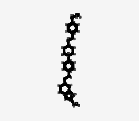 O=[N+]([O-])c1cn2c(n1)OC(COc1ccc(N3CCC(OCc4ccc(OC(F)(F)F)cc4)CC3)cc1)CC2